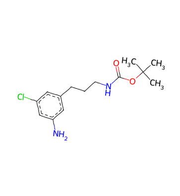 CC(C)(C)OC(=O)NCCCc1cc(N)cc(Cl)c1